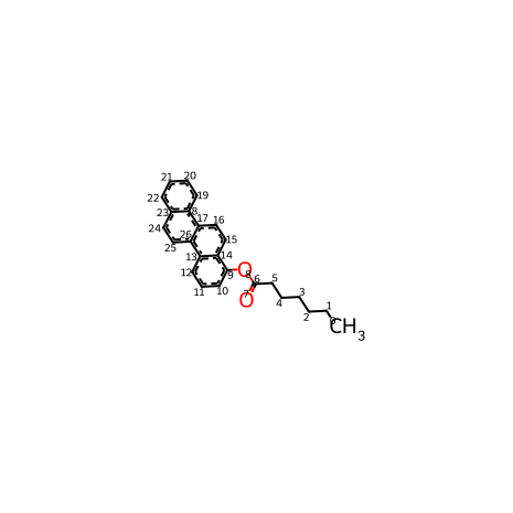 CCCCCCC(=O)Oc1cccc2c1ccc1c3ccccc3ccc21